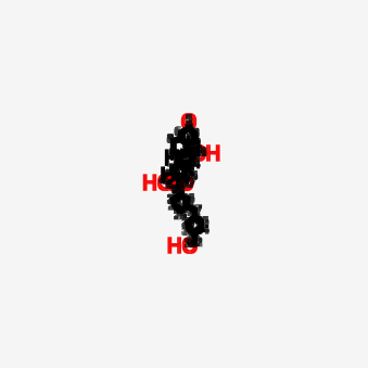 C[C@]12C=CC(=O)C=C1CC[C@@H]1[C@@H]2[C@@H](O)C[C@@]2(C)[C@H]1C[C@H]1O[C@@H](c3cccc(Cc4ccc(CO)cc4)c3)O[C@]12C(=O)CO